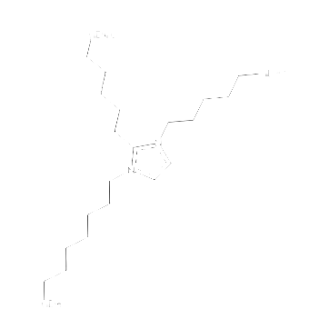 CCCCCCCCCCCCCCCCCn1cc[n+](CCCCCCCCCCCCCCC)c1CCCCCCCCCCCCCCC